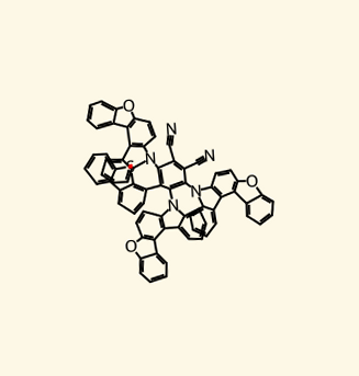 N#Cc1c(C#N)c(-n2c3ccccc3c3c4c(ccc32)oc2ccccc24)c(-n2c3ccccc3c3c4c(ccc32)oc2ccccc24)c(-c2cccc3c2sc2ccccc23)c1-n1c2ccccc2c2c3c(ccc21)oc1ccccc13